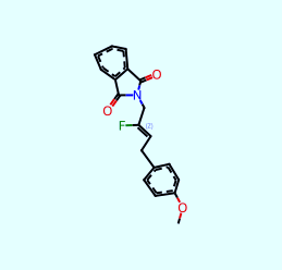 COc1ccc(C/C=C(\F)CN2C(=O)c3ccccc3C2=O)cc1